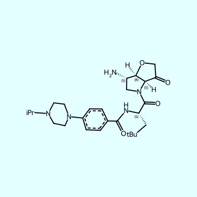 CC(C)N1CCN(c2ccc(C(=O)N[C@@H](CC(C)(C)C)C(=O)N3C[C@H](N)[C@H]4OCC(=O)[C@H]43)cc2)CC1